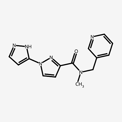 CN(Cc1cccnc1)C(=O)c1ccn(-c2ccn[nH]2)n1